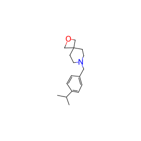 CC(C)c1ccc(CN2CCC3(CC2)COC3)cc1